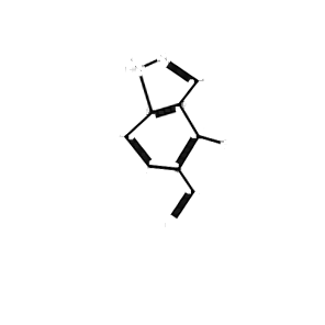 O=Cc1ccc2[nH]ncc2c1F